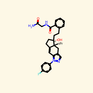 CCCC12Cc3cnn(-c4ccc(F)cc4)c3C=C1CC[C@@]2(O)CCc1ccccc1C(=O)NCC(N)=O